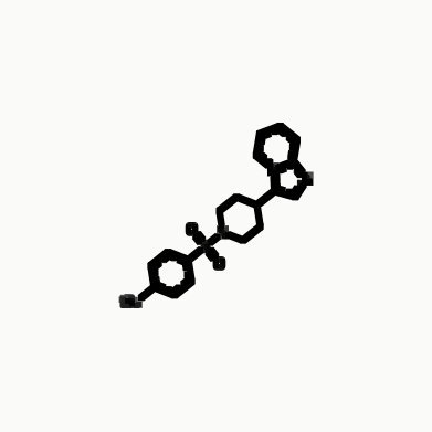 CC(C)(C)c1ccc(S(=O)(=O)N2CCC(c3cnc4ccccn34)CC2)cc1